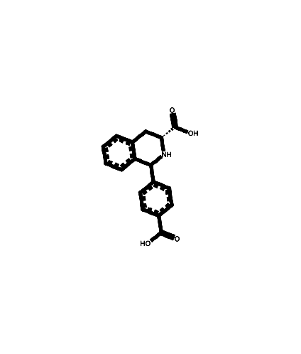 O=C(O)c1ccc(C2N[C@@H](C(=O)O)Cc3ccccc32)cc1